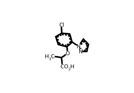 CC(Oc1ccc(Cl)cc1-n1cccn1)C(=O)O